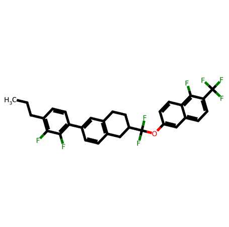 CCCc1ccc(-c2ccc3c(c2)CCC(C(F)(F)Oc2ccc4c(F)c(C(F)(F)F)ccc4c2)C3)c(F)c1F